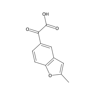 Cc1cc2cc(C(=O)C(=O)O)ccc2o1